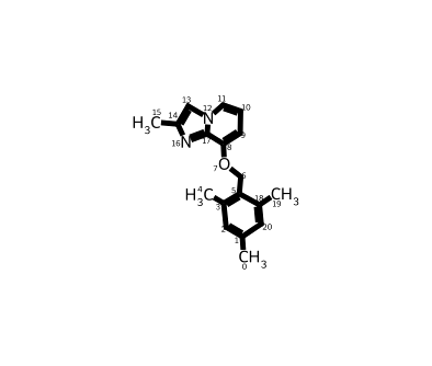 Cc1cc(C)c(COc2cccn3cc(C)nc23)c(C)c1